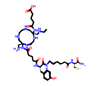 CCNC[C@]1(NC(=O)CCCC(=O)O)CNCCNC[C@@](CN)(NC(=O)CCCC(=O)N[C@@H](Cc2ccc(O)cc2)C(=O)NCCCCCC(=O)N[C@@H](CS)C(N)=O)NCCN1